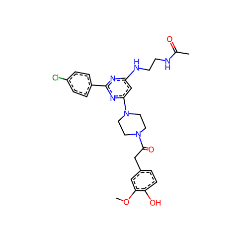 COc1cc(CC(=O)N2CCN(c3cc(NCCNC(C)=O)nc(-c4ccc(Cl)cc4)n3)CC2)ccc1O